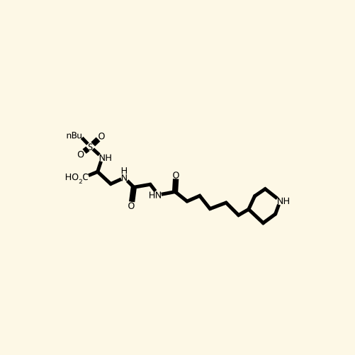 CCCCS(=O)(=O)NC(CNC(=O)CNC(=O)CCCCCC1CCNCC1)C(=O)O